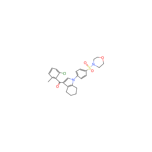 Cc1cccc(Cl)c1C(=O)c1cn(-c2ccc(S(=O)(=O)N3CCOCC3)cc2)c2c1CCCC2